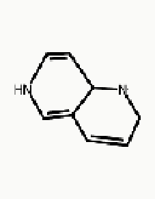 C1=CC2=CNC=CC2[N]C1